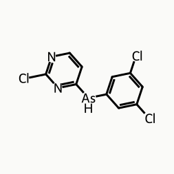 Clc1cc(Cl)cc([AsH]c2ccnc(Cl)n2)c1